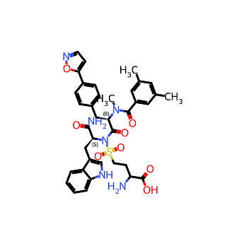 Cc1cc(C)cc(C(=O)N(C)[C@H](Cc2ccc(-c3ccno3)cc2)C(=O)N([C@@H](Cc2c[nH]c3ccccc23)C(N)=O)S(=O)(=O)CCC(N)C(=O)O)c1